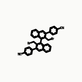 N#Cc1ccc(-c2cc3ccccc3c(-c3c(CBr)c(-c4ccc(C#N)cc4)cc4ccccc34)c2CBr)cc1